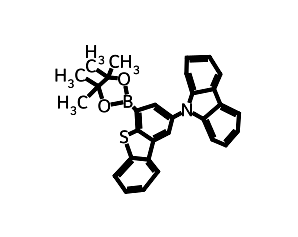 CC1(C)OB(c2cc(-n3c4ccccc4c4ccccc43)cc3c2sc2ccccc23)OC1(C)C